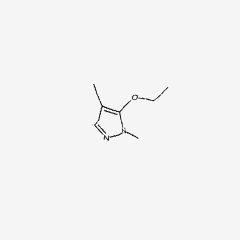 CCOc1c(C)[c]nn1C